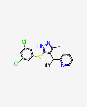 Cc1n[nH]c(Sc2cc(Cl)cc(Cl)c2)c1C(c1ccccn1)C(C)C